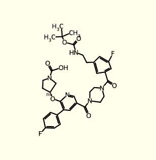 CC(C)(C)OC(=O)NCCc1cc(F)cc(C(=O)N2CCN(C(=O)c3cnc(O[C@H]4CCN(C(=O)O)C4)c(-c4ccc(F)cc4)c3)CC2)c1